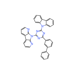 c1ccc(-c2cccc(-c3nc(-n4c5ccccc5c5ccccc54)nc(-n4c5ncccc5c5cccnc54)n3)c2)cc1